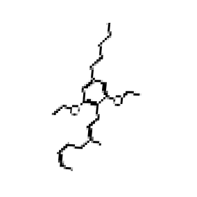 C/C=C\CC/C(C)=C/Cc1c(OCC)cc(CCCCC)cc1OCC